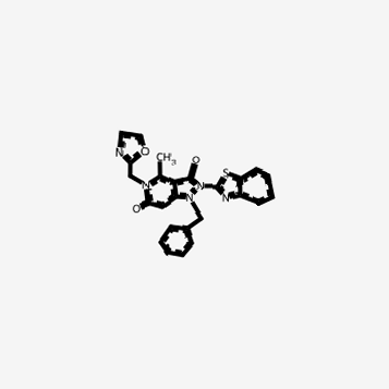 Cc1c2c(=O)n(-c3nc4ccccc4s3)n(Cc3ccccc3)c2cc(=O)n1Cc1ncco1